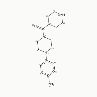 Nc1ccc(N2CCN(C(=O)C3CCNCC3)CC2)cc1